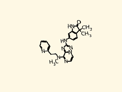 CN(CCc1ccccn1)c1nccn2nc(Nc3ccc4c(c3)NC(=O)C4(C)C)nc12